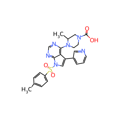 Cc1ccc(S(=O)(=O)n2cc(-c3cccnc3)c3c(N4CCN(C(=O)O)CC4C)ncnc32)cc1